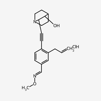 C=CCc1cc(C=NOC)ccc1C#CC1C(O)C2CCN1CC2.Cl